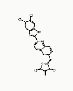 O=C1NC(=O)C(=Cc2ccc3nc(-c4nc5cc(Cl)c(Cl)cc5[nH]4)ccc3c2)S1